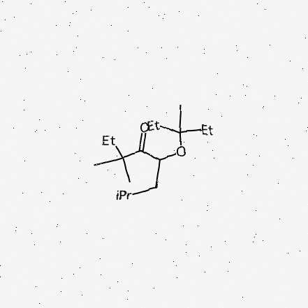 CCC(C)(CC)OC(CC(C)C)C(=O)C(C)(C)CC